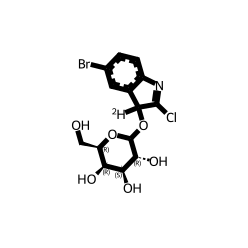 [2H]C1(OC2O[C@H](CO)[C@H](O)[C@H](O)[C@H]2O)C(Cl)=Nc2ccc(Br)cc21